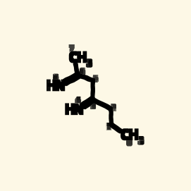 CCCC(=N)CC(C)=N